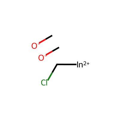 C[O-].C[O-].Cl[CH2][In+2]